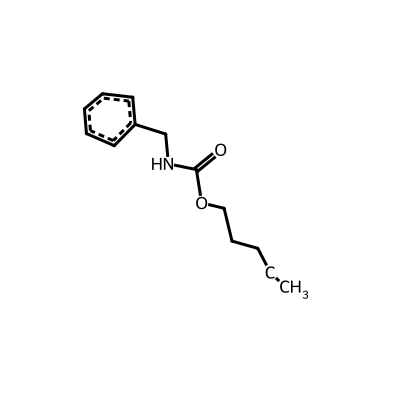 CCCCCOC(=O)NCc1ccccc1